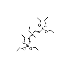 CCO[Si](C=C[Si](C)(C=C[Si](OCC)(OCC)OCC)CC)(OCC)OCC